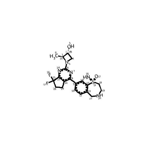 C[C@H]1[C@H](O)CN1c1nc(-c2ccc3c(c2)S(=N)(=O)CCNC3)c2c(n1)C(F)(F)CC2